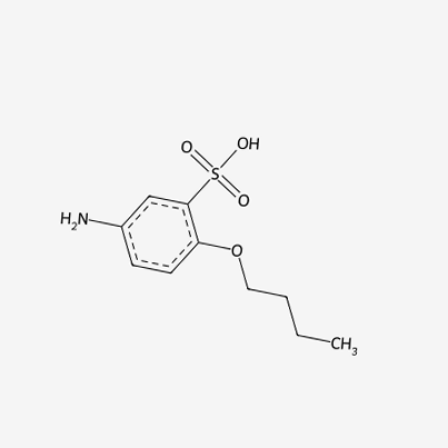 CCCCOc1ccc(N)cc1S(=O)(=O)O